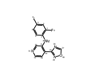 Fc1cc(I)ccc1Nc1cnccc1-c1ncon1